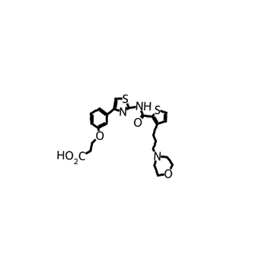 O=C(O)CCOc1cccc(-c2csc(NC(=O)c3sccc3CCCN3CCOCC3)n2)c1